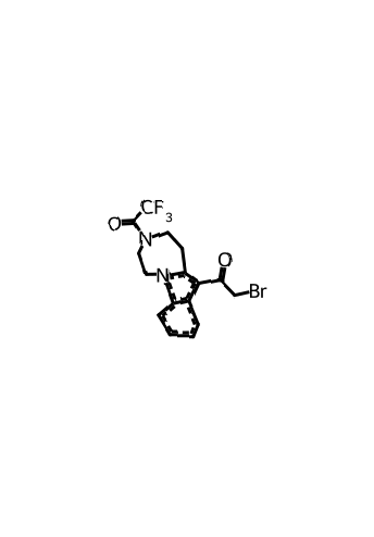 O=C(CBr)c1c2n(c3ccccc13)CCN(C(=O)C(F)(F)F)CC2